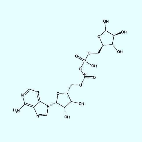 Nc1ncnc2c1ncn2[C@@H]1O[C@H](CO[PH](=O)OP(=O)(O)OC[C@H]2OC(O)[C@@H](O)C2O)C(O)[C@@H]1O